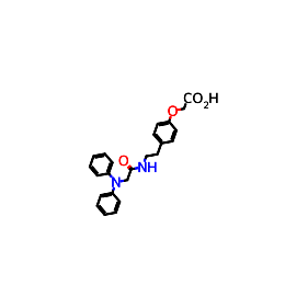 O=C(O)COc1ccc(CCNC(=O)CN(c2ccccc2)c2ccccc2)cc1